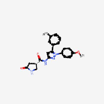 CCCOc1ccc(-n2nc(NC(=O)[C@@H]3CNC(=O)C3)cc2-c2cccc(CCC)c2)cc1